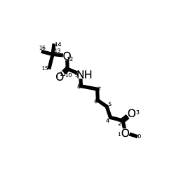 COC(=O)CCCCCNC(=O)OC(C)(C)C